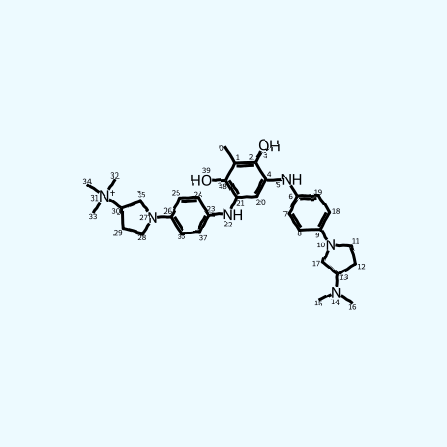 Cc1c(O)c(Nc2ccc(N3CCC(N(C)C)C3)cc2)cc(Nc2ccc(N3CCC([N+](C)(C)C)C3)cc2)c1O